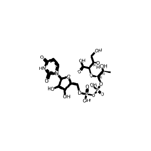 C[C@H](O)[C@H](OC(C(=O)O)[C@H](O)CO)OP(=O)(O)OP(=O)(O)OCC1OC(n2ccc(=O)[nH]c2=O)C(O)C1O